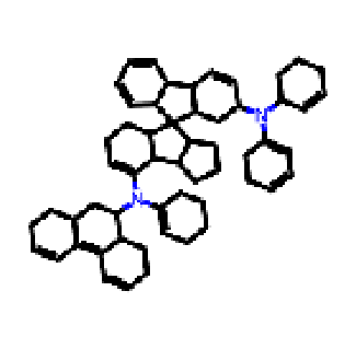 C1=CCCC(N(C2C=CCCC2)C2C=CC3C4C=CC=CC4C4(C3C2)C2CCCC2C2C(N(C3=CCCCC3)C3CC5CCC=CC5=C5C=CCCC53)=CCCC24)=C1